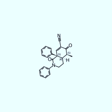 C[C@@H]1C(=O)C(C#N)=C[C@@]2(c3ccccc3)C(=O)N(c3ccccc3)CC[C@H]12